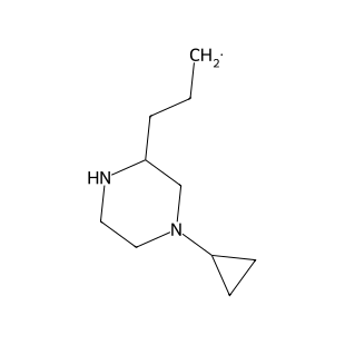 [CH2]CCC1CN(C2CC2)CCN1